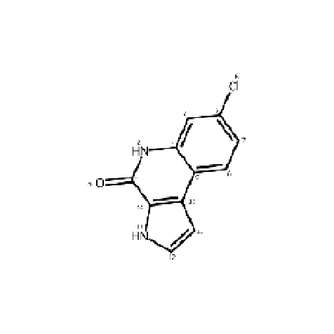 O=c1[nH]c2cc(Cl)ccc2c2cc[nH]c12